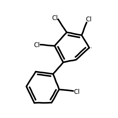 Clc1[c]cc(-c2ccccc2Cl)c(Cl)c1Cl